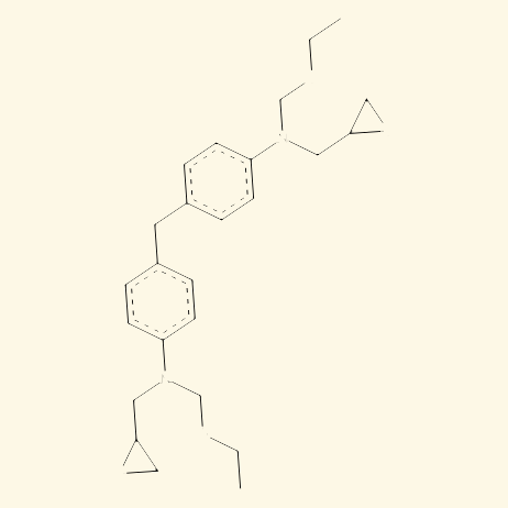 CCOCN(CC1CO1)c1ccc(Cc2ccc(N(COCC)CC3CO3)cc2)cc1